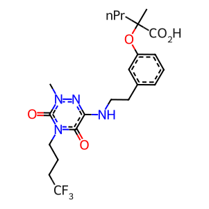 CCCC(C)(Oc1cccc(CCNc2nn(C)c(=O)n(CCCC(F)(F)F)c2=O)c1)C(=O)O